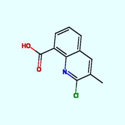 Cc1cc2cccc(C(=O)O)c2nc1Cl